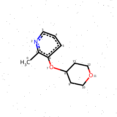 Cc1ncccc1OC1CCOCC1